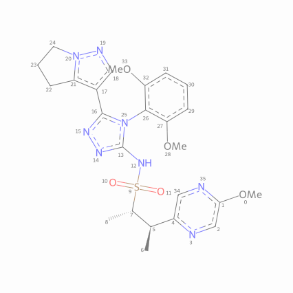 COc1cnc([C@@H](C)[C@H](C)S(=O)(=O)Nc2nnc(-c3cnn4c3CCC4)n2-c2c(OC)cccc2OC)cn1